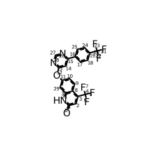 O=c1cc(C(F)(F)F)c2ccc(Oc3cc(-c4ccc(C(F)(F)F)cc4)ncn3)cc2[nH]1